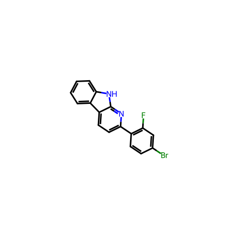 Fc1cc(Br)ccc1-c1ccc2c(n1)[nH]c1ccccc12